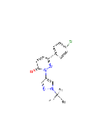 [2H]C([2H])([2H])n1cc(-n2nc(-c3ccc(Cl)cc3)ccc2=O)cn1